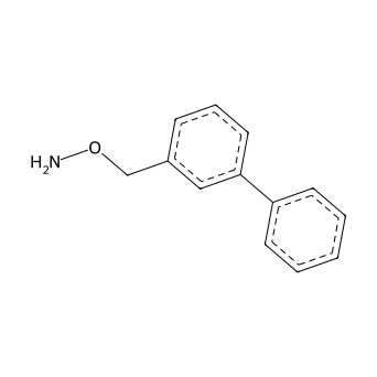 NOCc1cccc(-c2ccccc2)c1